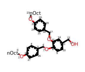 CCCCCCCCOc1ccc(COc2ccc(CO)cc2OCc2ccc(OCCCCCCCC)cc2)cc1